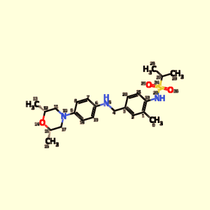 Cc1cc(CNc2ccc(N3C[C@@H](C)O[C@@H](C)C3)cc2)ccc1NS(=O)(=O)C(C)C